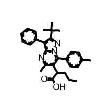 CCCC(C(=O)O)c1c(C)nc2c(-c3ccccc3)c(C(C)(C)C)nn2c1-c1ccc(C)cc1